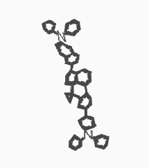 c1ccc(N(c2ccccc2)c2ccc(-c3ccc4c(c3)C3(CC3)c3ccc(-c5ccc6cc(N(c7ccccc7)c7ccccc7)ccc6c5)c5cccc-4c35)cc2)cc1